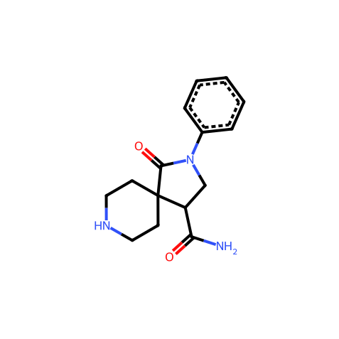 NC(=O)C1CN(c2ccccc2)C(=O)C12CCNCC2